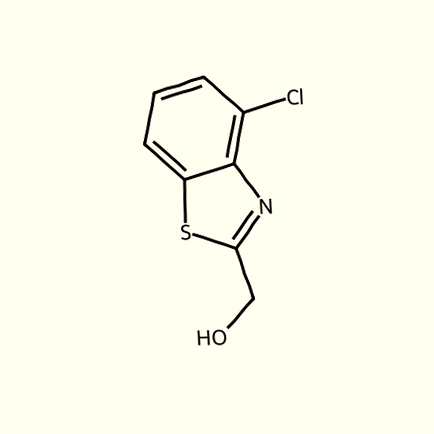 OCc1nc2c(Cl)cccc2s1